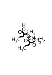 CCCC(C(C)=O)C(=O)O.CCCC(C(C)=O)C(=O)O.[SnH2]